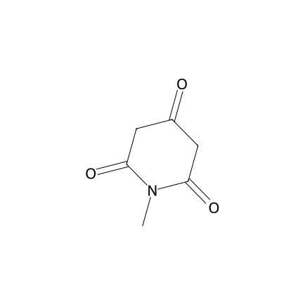 CN1C(=O)CC(=O)CC1=O